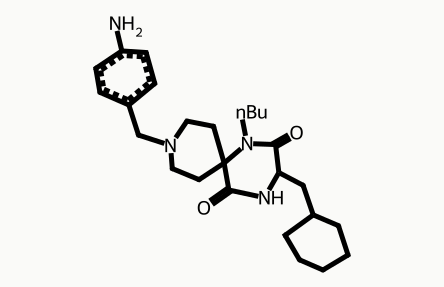 CCCCN1C(=O)C(CC2CCCCC2)NC(=O)C12CCN(Cc1ccc(N)cc1)CC2